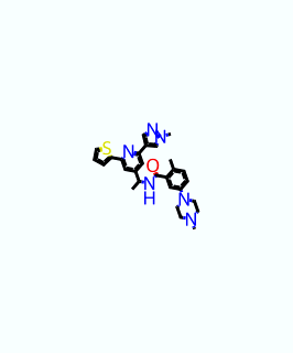 Cc1ccc(N2CCN(C)CC2)cc1C(=O)NC(C)c1cc(-c2cnn(C)c2)nc(-c2cccs2)c1